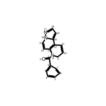 O=C(c1ccccc1)N1CC=Cc2c1ccn1nccc21